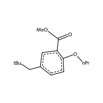 CCCOc1ccc(CC(C)(C)C)cc1C(=O)OC